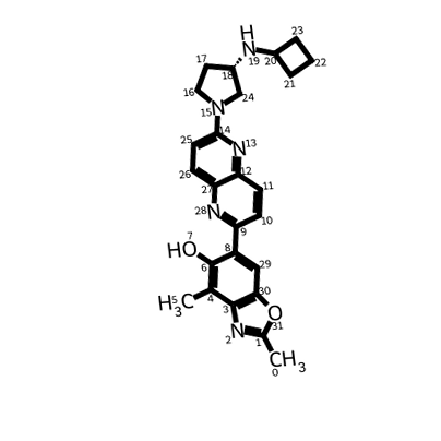 Cc1nc2c(C)c(O)c(-c3ccc4nc(N5CC[C@H](NC6CCC6)C5)ccc4n3)cc2o1